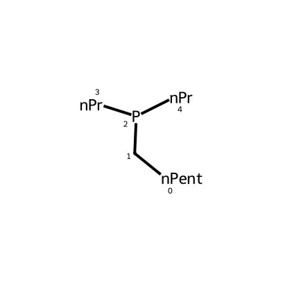 CCCCCCP(CCC)CCC